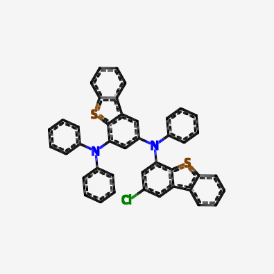 Clc1cc(N(c2ccccc2)c2cc(N(c3ccccc3)c3ccccc3)c3sc4ccccc4c3c2)c2sc3ccccc3c2c1